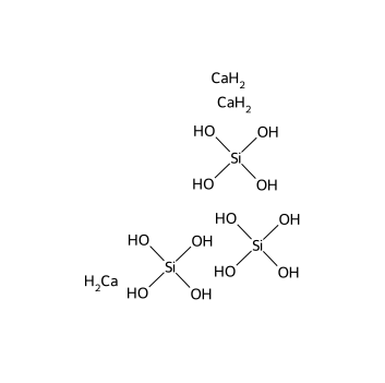 O[Si](O)(O)O.O[Si](O)(O)O.O[Si](O)(O)O.[CaH2].[CaH2].[CaH2]